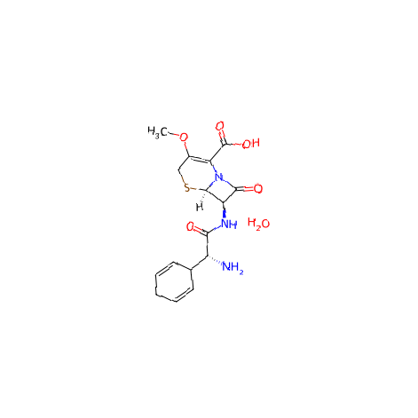 COC1=C(C(=O)O)N2C(=O)[C@@H](NC(=O)[C@H](N)C3C=CCC=C3)[C@H]2SC1.O